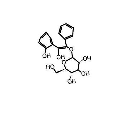 OC[C@H]1OC(OC(=C(O)c2ccccc2O)c2ccccc2)[C@H](O)[C@@H](O)[C@@H]1O